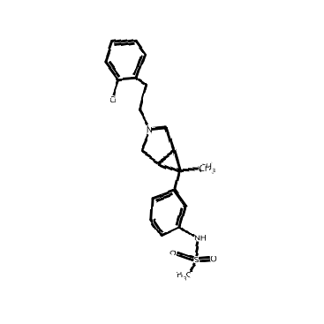 CC1(c2cccc(NS(C)(=O)=O)c2)C2CN(CCc3ccccc3Cl)CC21